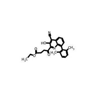 CCOC(=O)CCC(=O)c1nc2c(-c3c(C)cccc3C)cccc2c(C#N)c1O